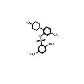 COc1ccc(C(=O)O)cc1S(=O)(=O)Nc1cc(C(F)(F)F)ccc1N1CCC(O)CC1